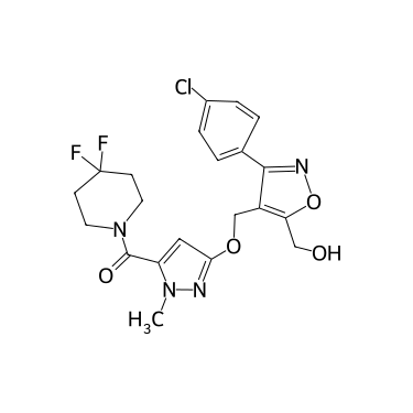 Cn1nc(OCc2c(-c3ccc(Cl)cc3)noc2CO)cc1C(=O)N1CCC(F)(F)CC1